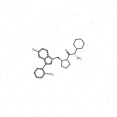 Cc1ccccc1-c1cn(C[C@@H]2CCCN2C(=O)[C@@H](N)C2CCCCC2)c2ccc(F)cc12